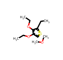 CCOc1csc(CC)c1OCC.COC